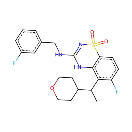 CC(c1c(F)ccc2c1NC(NCc1cccc(F)c1)=NS2(=O)=O)C1CCOCC1